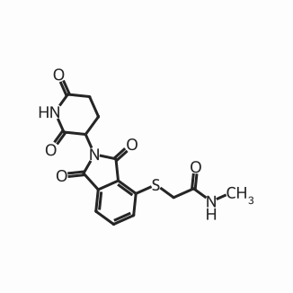 CNC(=O)CSc1cccc2c1C(=O)N(C1CCC(=O)NC1=O)C2=O